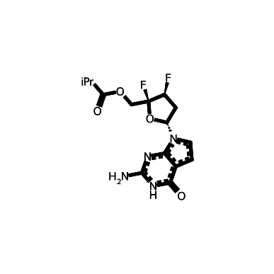 CC(C)C(=O)OC[C@@]1(F)O[C@@H](n2ccc3c(=O)[nH]c(N)nc32)C[C@@H]1F